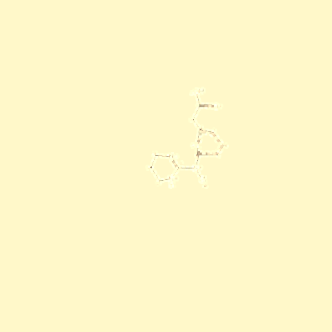 O=C(O)Cc1cccc(N(Cl)C2=NCCCN2)c1